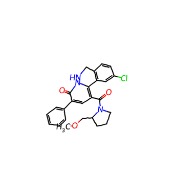 COCC1CCCN1C(=O)c1cc(-c2ccccc2)c(=O)n2c1-c1cc(Cl)ccc1CN2